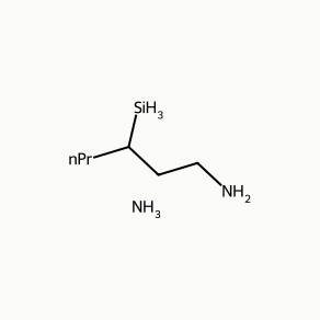 CCCC([SiH3])CCN.N